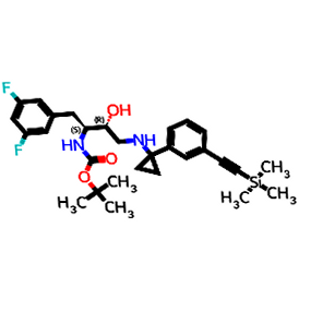 CC(C)(C)OC(=O)N[C@@H](Cc1cc(F)cc(F)c1)[C@H](O)CNC1(c2cccc(C#C[Si](C)(C)C)c2)CC1